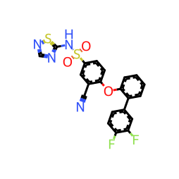 N#Cc1cc(S(=O)(=O)Nc2ncns2)ccc1Oc1ccccc1-c1ccc(F)c(F)c1